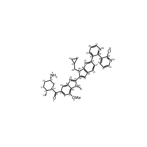 COc1cc(C(=O)N2C[C@H](N)CC[C@@H]2C)cc2nc(-c3cc4ccc(-c5cccnc5-c5cccnc5Cl)nc4n3CC3CC3)n(C)c12